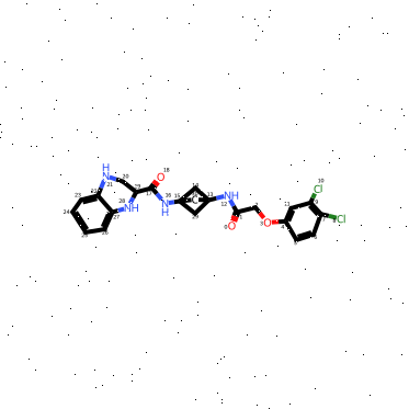 O=C(COc1ccc(Cl)c(Cl)c1)NC12CC(NC(=O)C3CNc4ccccc4N3)(C1)C2